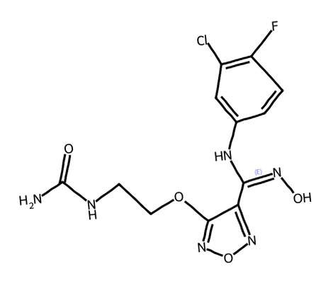 NC(=O)NCCOc1nonc1/C(=N\O)Nc1ccc(F)c(Cl)c1